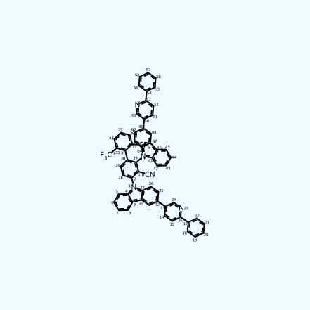 N#Cc1c(-n2c3ccccc3c3cc(-c4ccc(-c5ccccc5)nc4)ccc32)ccc(-c2c(C(F)(F)F)cccc2C(F)(F)F)c1-n1c2ccccc2c2cc(-c3ccc(-c4ccccc4)nc3)ccc21